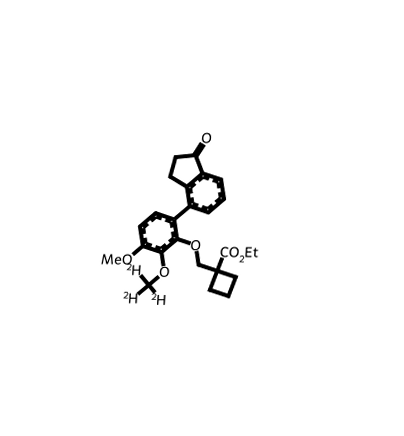 [2H]C([2H])([2H])Oc1c(OC)ccc(-c2cccc3c2CCC3=O)c1OCC1(C(=O)OCC)CCC1